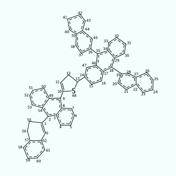 C1=C(c2c3ccccc3c(C3=CCC(c4ccc5c(-c6ccc7ccccc7c6)c6ccccc6c(-c6ccc7ccccc7c6)c5c4)S3)c3ccccc23)CCc2ccccc21